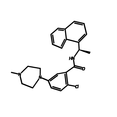 C[C@@H](NC(=O)c1cc(N2CCN(C)CC2)ccc1Cl)c1cccc2ccccc12